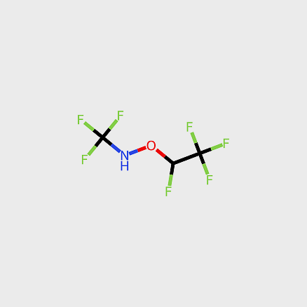 FC(ONC(F)(F)F)C(F)(F)F